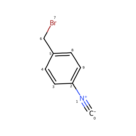 [C-]#[N+]c1ccc(CBr)cc1